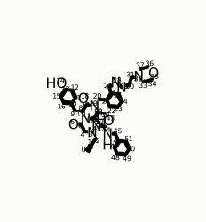 C#CCN1CC(=O)N2[C@@H](Cc3ccc(O)cc3)C(=O)N(Cc3cccc4c3cnn4CCN3CCOCC3)[C@@H](C)[C@@H]2N1C(=O)NCc1ccccc1